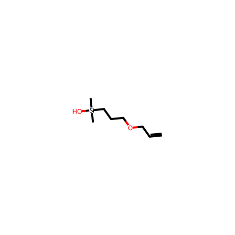 C=CCOCCC[Si](C)(C)O